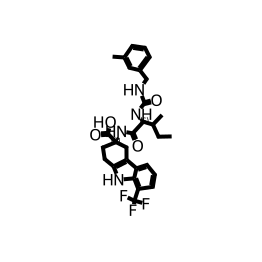 CCC(C)[C@H](NC(=O)NCc1cccc(C)c1)C(=O)N[C@]1(C(=O)O)CCc2[nH]c3c(C(F)(F)F)cccc3c2C1